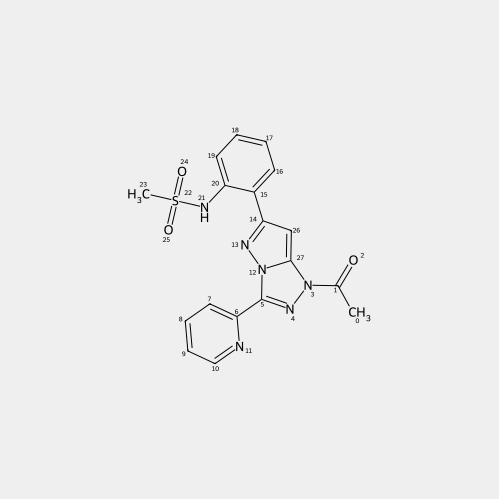 CC(=O)n1nc(-c2ccccn2)n2nc(-c3ccccc3NS(C)(=O)=O)cc12